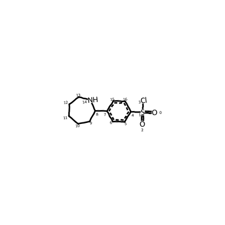 O=S(=O)(Cl)c1ccc(C2CCCCCN2)cc1